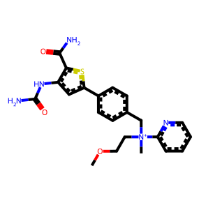 COCC[N+](C)(Cc1ccc(-c2cc(NC(N)=O)c(C(N)=O)s2)cc1)c1ccccn1